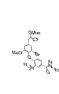 CCNC(=O)c1ccc(Oc2c(Br)cc(CC(=O)OC)cc2OC)c(N)c1